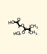 C=C(C)C(=O)OCC(=O)O.Cl